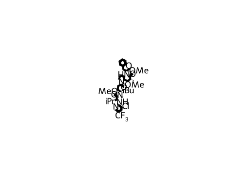 CC[C@H](C)[C@@H]([C@@H](CC(=O)N1CCCC1[C@H](OC)[C@@H](C)C(=O)NC(Cc1ccccc1)C(=O)OC)OC)N(C)C(=O)C(Nc1ncc(C(F)(F)F)cc1Cl)C(C)C